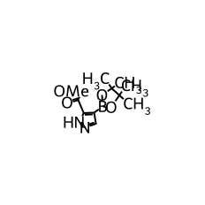 COC(=O)c1[nH]ncc1B1OC(C)(C)C(C)(C)O1